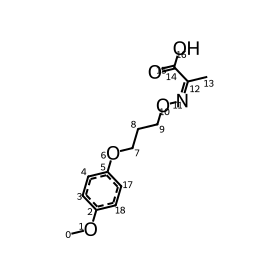 COc1ccc(OCCCON=C(C)C(=O)O)cc1